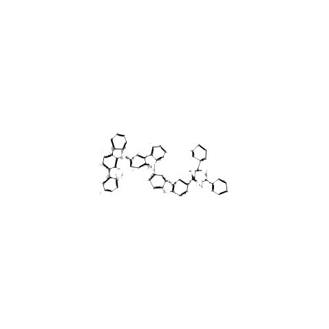 c1ccc(-c2nc(-c3ccccc3)nc(-c3ccc4sc5ccc(-n6c7ccccc7c7cc(-n8c9ccccc9c9ccc%10c%11ccccc%11oc%10c98)ccc76)cc5c4c3)n2)cc1